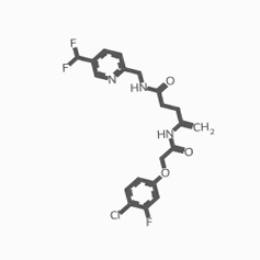 C=C(CCC(=O)NCc1ccc(C(F)F)cn1)NC(=O)COc1ccc(Cl)c(F)c1